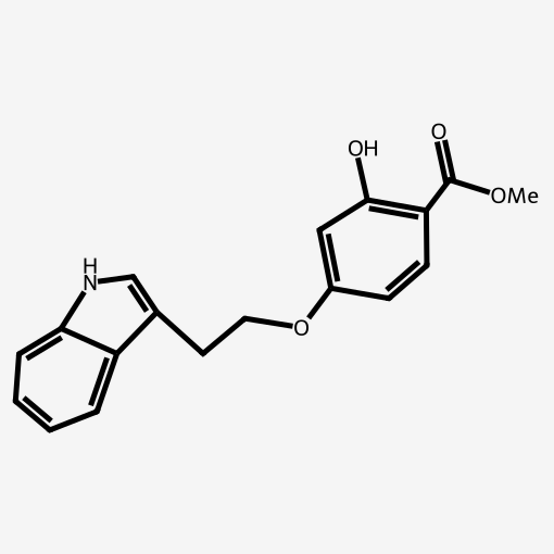 COC(=O)c1ccc(OCCc2c[nH]c3ccccc23)cc1O